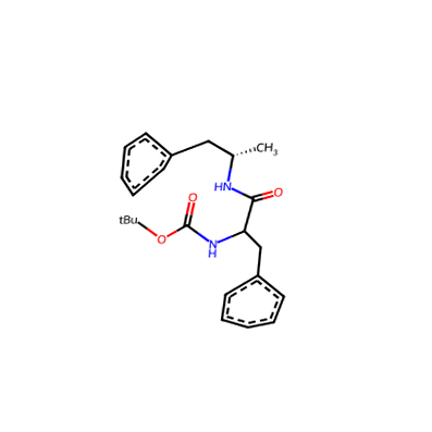 C[C@@H](Cc1ccccc1)NC(=O)C(Cc1ccccc1)NC(=O)OC(C)(C)C